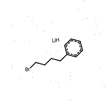 BrCCCCc1ccccc1.[LiH]